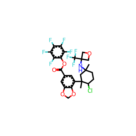 CC1(NC2(C(F)(F)F)COC2)CCC(Cl)C(C)(c2cc(C(=O)Oc3c(F)c(F)c(F)c(F)c3F)cc3c2OCO3)C1